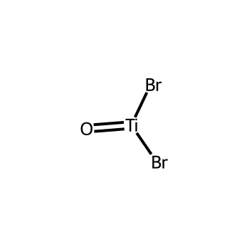 [O]=[Ti]([Br])[Br]